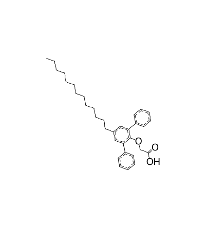 CCCCCCCCCCCCCc1cc(-c2ccccc2)c(OCC(=O)O)c(-c2ccccc2)c1